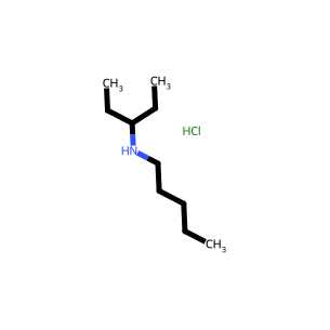 CCCCCNC(CC)CC.Cl